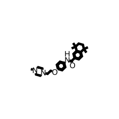 CN1CCN(CCOc2ccc(NC(=O)c3ccc4c(c3)C(C)(C)CCC4(C)C)cc2)CC1